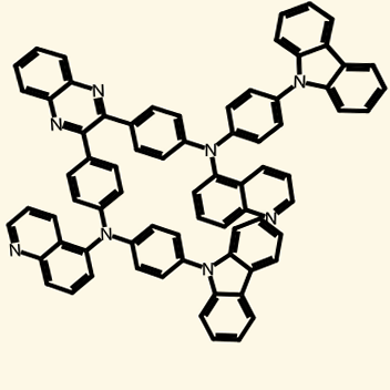 c1ccc2nc(-c3ccc(N(c4ccc(-n5c6ccccc6c6ccccc65)cc4)c4cccc5ncccc45)cc3)c(-c3ccc(N(c4ccc(-n5c6ccccc6c6ccccc65)cc4)c4cccc5ncccc45)cc3)nc2c1